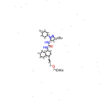 COCOCC#Cc1ccc(NC(=O)Nc2cc(C(C)(C)C)nn2-c2ccc(C)cc2)c2ccccc12